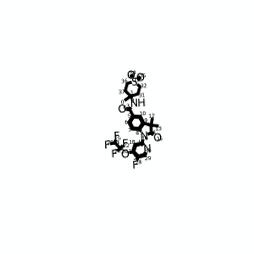 CC1(NC(=O)c2ccc3c(c2)C(C)(C)C(=O)N3c2cc(OC(F)(F)C(F)F)c(F)cn2)CCS(=O)(=O)CC1